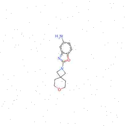 Nc1ccc2oc(N3CC4(CCOCC4)C3)nc2c1